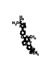 Cc1nc(OC2CCN(c3nc(C(C)C)no3)CC2)c2c(n1)N(c1ccc(S(C)(=O)=O)cc1F)CC2